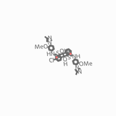 COc1cc(Nc2ncc(C(O)(c3ccccc3)C(O)(c3ccc(Cl)cc3)c3cnc(Nc4ccc(-n5cnc(C)c5)c(OC)c4)s3)s2)ccc1-n1cnc(C)c1